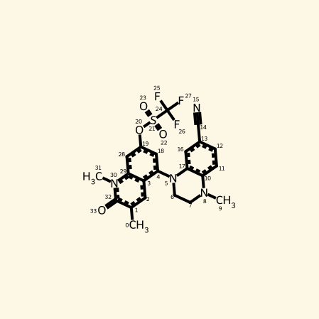 Cc1cc2c(N3CCN(C)c4ccc(C#N)cc43)cc(OS(=O)(=O)C(F)(F)F)cc2n(C)c1=O